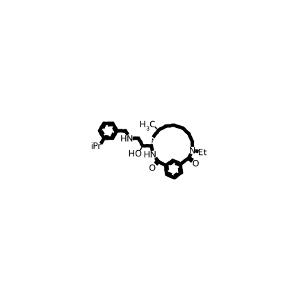 CCN1CCCCC[C@@H](C)C[C@@H]([C@H](O)CNCc2cccc(C(C)C)c2)NC(=O)c2cccc(c2)C1=O